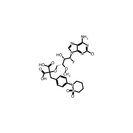 CO[C@H](COC(Cc1ccc(N2CCCCS2(=O)=O)cc1)(C(=O)O)C(=O)O)[C@@H](O)[C@H](F)n1cnc2c(N)nc(Cl)nc21